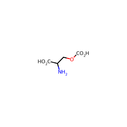 NC(COC(=O)O)C(=O)O